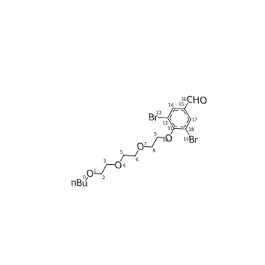 CCCCOCCOCCOCCOc1c(Br)cc(C=O)cc1Br